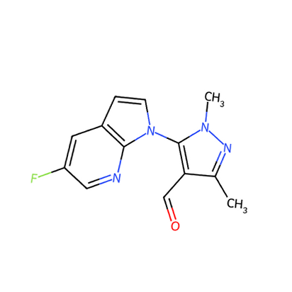 Cc1nn(C)c(-n2ccc3cc(F)cnc32)c1C=O